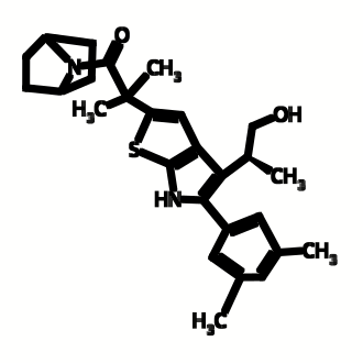 Cc1cc(C)cc(-c2[nH]c3sc(C(C)(C)C(=O)N4C5CCC4CC5)cc3c2[C@H](C)CO)c1